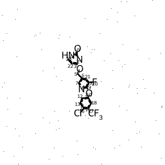 O=c1nc(OCc2cnc(Oc3ccc(Cl)c(C(F)(F)F)c3)c(F)c2)cc[nH]1